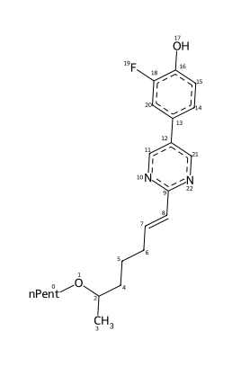 CCCCCOC(C)CCCC=Cc1ncc(-c2ccc(O)c(F)c2)cn1